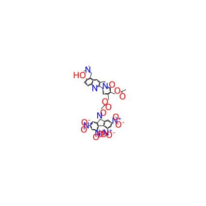 CC(=O)OCc1c(COC(=O)CON=C2c3cc([N+](=O)[O-])cc([N+](=O)[O-])c3-c3c2cc([N+](=O)[O-])cc3[N+](=O)[O-])cc2n(c1=O)Cc1cc3c(CN(C)C)c(O)ccc3nc1-2